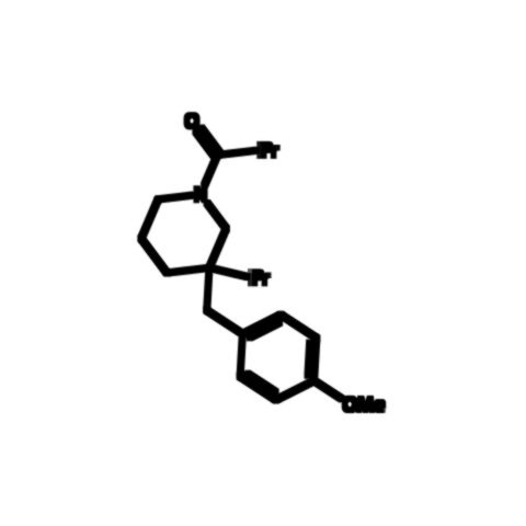 COc1ccc(CC2(C(C)C)CCCN(C(=O)C(C)C)C2)cc1